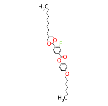 CCCCCCCCCC1COC(c2ccc(C(=O)Oc3ccc(OCCCCCCC)cc3)cc2F)OC1